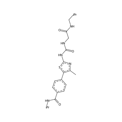 Cc1nc(NC(=O)NCC(=O)NCC(C)C)sc1-c1ccc(C(=O)NC(C)C)cc1